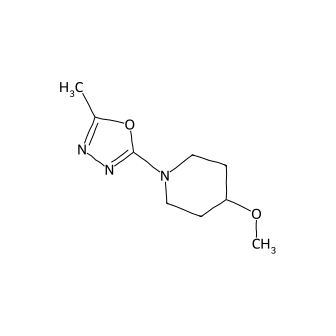 COC1CCN(c2nnc(C)o2)CC1